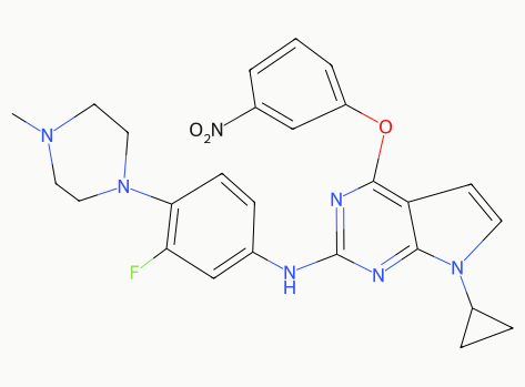 CN1CCN(c2ccc(Nc3nc(Oc4cccc([N+](=O)[O-])c4)c4ccn(C5CC5)c4n3)cc2F)CC1